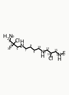 NCC(F)(Cl)CNCCCCNCC(Cl)CNF